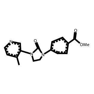 COC(=O)c1ccc(N2CCN(c3cnccc3C)C2=O)cc1